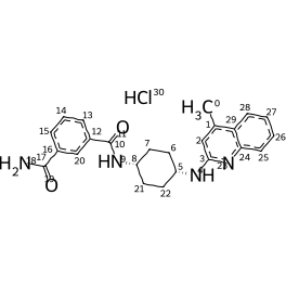 Cc1cc(N[C@H]2CC[C@@H](NC(=O)c3cccc(C(N)=O)c3)CC2)nc2ccccc12.Cl